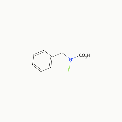 O=C(O)N(F)Cc1ccccc1